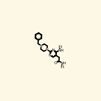 CCNC(=O)Cc1cnc(N2CCN(Cc3ccccc3)CC2)nc1NCC